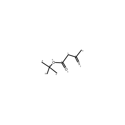 CC(=S)CC(=O)OC(C)(C)C